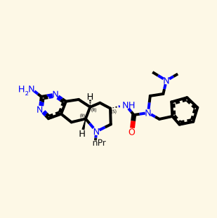 CCCN1C[C@@H](NC(=O)N(CCN(C)C)Cc2ccccc2)C[C@@H]2Cc3nc(N)ncc3C[C@H]21